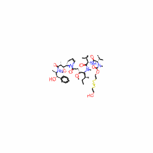 CC[C@H](C)[C@@H]([C@@H](CC(=O)N1CCC[C@H]1[C@H](OC)[C@@H](C)C(=O)N[C@H](C)[C@@H](O)c1ccccc1)OC)N(C)C(=O)[C@@H](NC(=O)[C@H](C(C)C)N(C)C(=O)OCCSSCCO)C(C)C